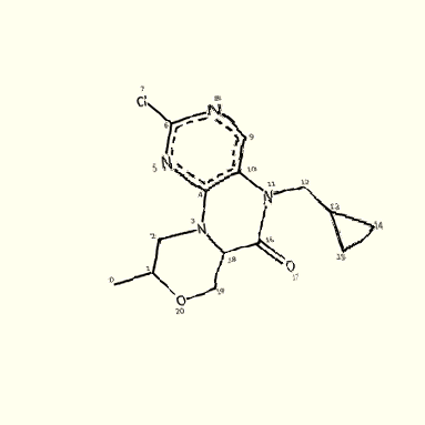 CC1CN2c3nc(Cl)ncc3N(CC3CC3)C(=O)C2CO1